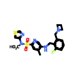 Cc1cc(S(=O)(=O)N(C(=O)O)c2cscn2)ncc1NCc1c(F)cccc1CN1CCC1